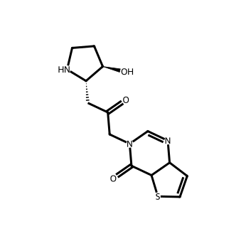 O=C(C[C@@H]1NCC[C@H]1O)CN1C=NC2C=CSC2C1=O